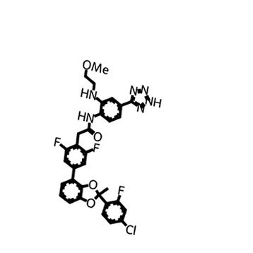 COCCNc1cc(-c2nn[nH]n2)ccc1NC(=O)Cc1c(F)cc(-c2cccc3c2OC(C)(c2ccc(Cl)cc2F)O3)cc1F